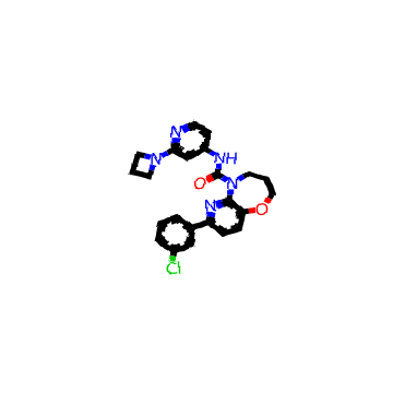 O=C(Nc1ccnc(N2CCC2)c1)N1CCCOc2ccc(-c3cccc(Cl)c3)nc21